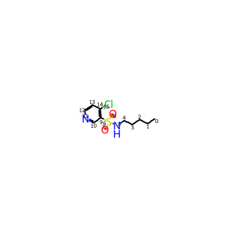 CCCCCNS(=O)(=O)c1cnccc1Cl